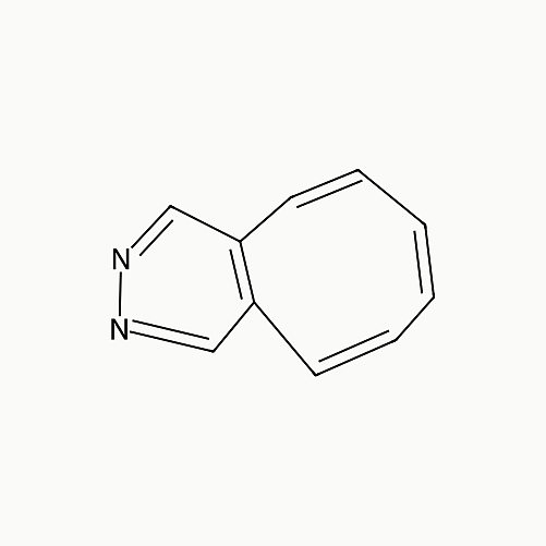 C1=CC=Cc2cnncc2C=C1